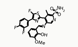 COc1cccc(C=Nc2cnc(S(N)(=O)=O)c(C)c2-c2nc(-c3ccc(F)c(F)c3)c(F)s2)c1O